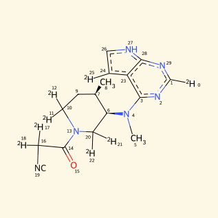 [2H]c1nc(N(C)[C@@H]2[C@H](C)CC([2H])([2H])N(C(=O)C([2H])([2H])[N+]#[C-])C2([2H])[2H])c2c([2H])c[nH]c2n1